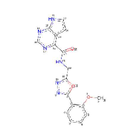 COc1ccccc1-c1nnc(CNC(=O)c2ncnc3[nH]ccc23)o1